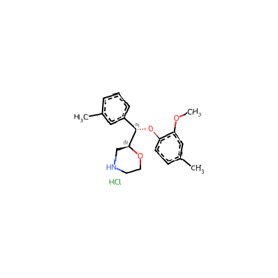 COc1cc(C)ccc1O[C@@H](c1cccc(C)c1)[C@@H]1CNCCO1.Cl